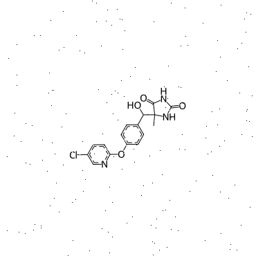 CC1(C(O)c2ccc(Oc3ccc(Cl)cn3)cc2)NC(=O)NC1=O